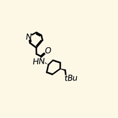 CC(C)(C)C[C@H]1CC[C@H](NC(=O)Cc2cccnc2)CC1